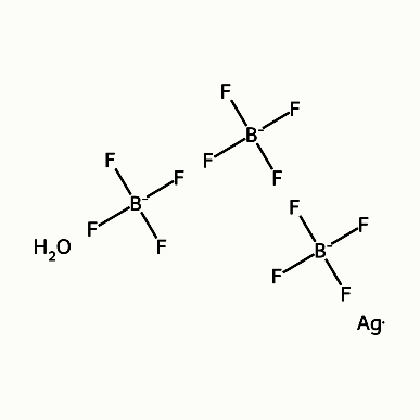 F[B-](F)(F)F.F[B-](F)(F)F.F[B-](F)(F)F.O.[Ag]